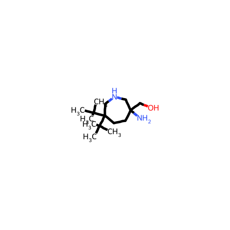 CC(C)(C)C1(C(C)(C)C)CCC(N)(CO)CNC1